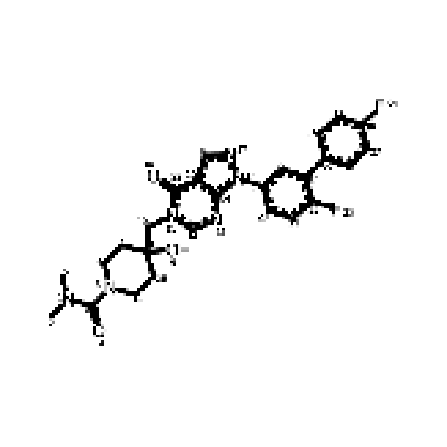 CN(C)C(=O)N1CCC(O)(Cn2cnc3c(cnn3-c3ccc(F)c(-c4ccc(F)cc4)c3)c2=O)CC1